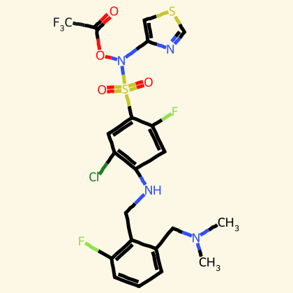 CN(C)Cc1cccc(F)c1CNc1cc(F)c(S(=O)(=O)N(OC(=O)C(F)(F)F)c2cscn2)cc1Cl